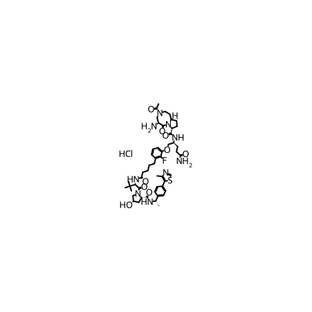 CC(=O)N1CC[C@H]2CC[C@@H](C(=O)N[C@@H](CCC(N)=O)COc3cccc(CCCCC(=O)N[C@H](C(=O)N4C[C@H](O)C[C@H]4C(=O)N[C@@H](C)c4ccc(-c5scnc5C)cc4)C(C)(C)C)c3F)N2C(=O)[C@@H](N)C1.Cl